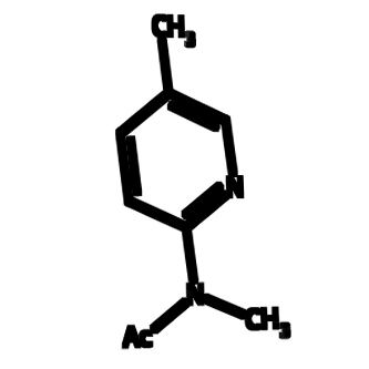 CC(=O)N(C)c1ccc(C)cn1